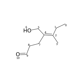 CC/C(C)=C(\CO)CCC=O